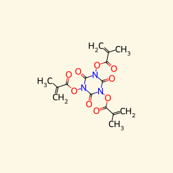 C=C(C)C(=O)On1c(=O)n(OC(=O)C(=C)C)c(=O)n(OC(=O)C(=C)C)c1=O